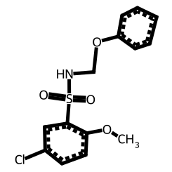 COc1ccc(Cl)cc1S(=O)(=O)NCOc1ccccc1